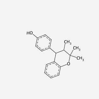 CC1C(c2ccc(O)cc2)c2ccccc2OC1(C)C